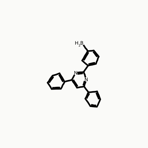 Bc1cccc(-c2nc(-c3ccccc3)cc(-c3ccccc3)n2)c1